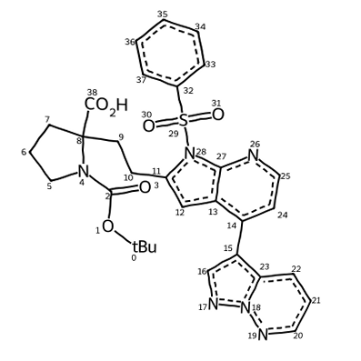 CC(C)(C)OC(=O)N1CCCC1(CCc1cc2c(-c3cnn4ncccc34)ccnc2n1S(=O)(=O)c1ccccc1)C(=O)O